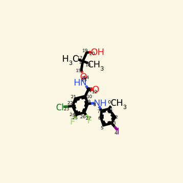 Cc1cc(I)ccc1Nc1c(C(=O)NOCC(C)(C)CO)cc(Cl)c(F)c1F